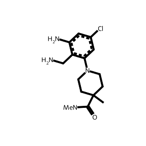 CNC(=O)C1(C)CCN(c2cc(Cl)cc(N)c2CN)CC1